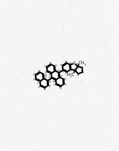 CC12CCCC1(C)c1cc(-c3c4ccccc4c(-c4cccc5ccccc45)c4ccccc34)ccc1S2